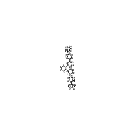 c1ccc2c(c1)c1cc(-c3ccc(-c4ncco4)nc3)ccc1c1ccc(-c3ccc(-c4ncco4)nc3)cc21